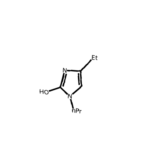 CCCn1cc(CC)nc1O